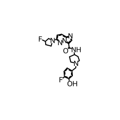 O=C(NC1CCN(Cc2ccc(F)c(O)c2)CC1)c1cnc2ccc(N3CCC(F)C3)nn12